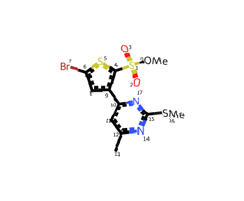 COS(=O)(=O)c1sc(Br)cc1-c1cc(C)nc(SC)n1